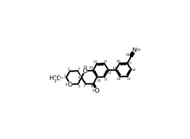 C[C@@H]1CC[C@]2(CO1)CC(=O)c1cc(-c3cccc(C#N)c3)ccc1O2